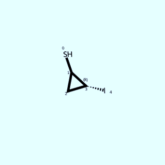 SC1C[C@H]1I